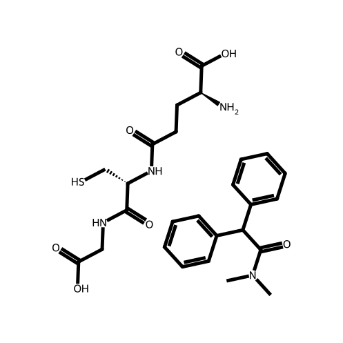 CN(C)C(=O)C(c1ccccc1)c1ccccc1.N[C@@H](CCC(=O)N[C@@H](CS)C(=O)NCC(=O)O)C(=O)O